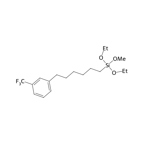 CCO[Si](CCCCCCc1cccc(C(F)(F)F)c1)(OC)OCC